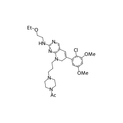 CCOCCNc1ncc2c(n1)N(CCCN1CCN(C(C)=O)CC1)CC(c1cc(OC)cc(OC)c1Cl)=C2